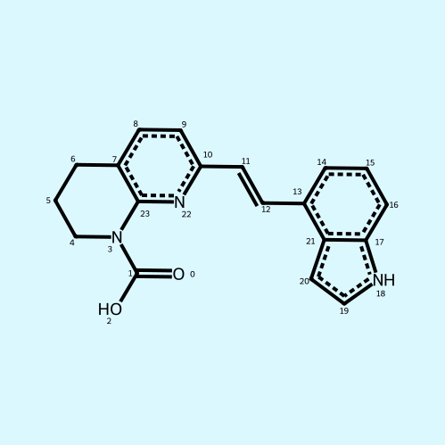 O=C(O)N1CCCc2ccc(C=Cc3cccc4[nH]ccc34)nc21